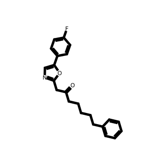 O=C(CCCCCc1ccccc1)Cc1ncc(-c2ccc(F)cc2)o1